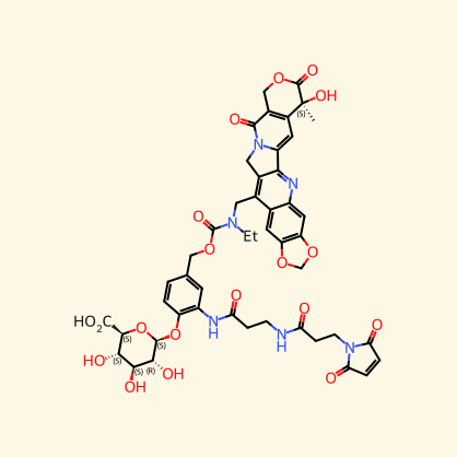 CCN(Cc1c2c(nc3cc4c(cc13)OCO4)-c1cc3c(c(=O)n1C2)COC(=O)[C@@]3(C)O)C(=O)OCc1ccc(O[C@@H]2O[C@H](C(=O)O)[C@@H](O)[C@H](O)[C@H]2O)c(NC(=O)CCNC(=O)CCN2C(=O)C=CC2=O)c1